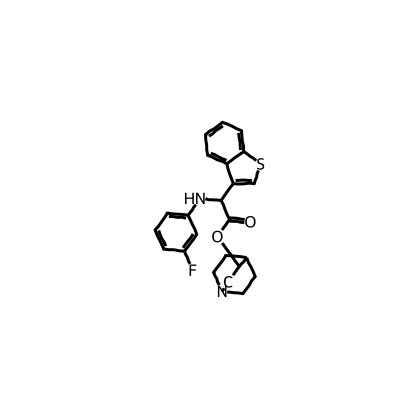 O=C(OC1CN2CCC1CC2)C(Nc1cccc(F)c1)c1csc2ccccc12